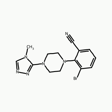 Cn1cnnc1N1CCN(c2c(Br)cccc2C#N)CC1